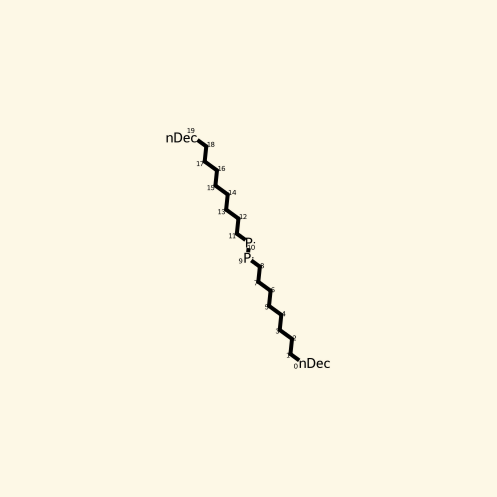 CCCCCCCCCCCCCCCCCC[P][P]CCCCCCCCCCCCCCCCCC